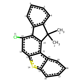 CC1(C)c2ccccc2-c2c(Cl)cc3sc4ccccc4c3c21